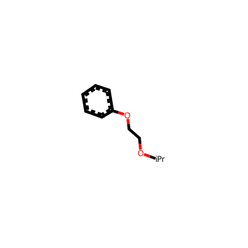 CC(C)OCCOc1[c]cccc1